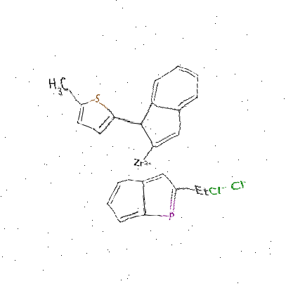 CCC1=PC2=CC=CC2=C1.Cc1ccc(C2[C]([Zr+2])=Cc3ccccc32)s1.[Cl-].[Cl-]